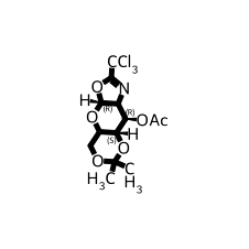 CC(=O)O[C@@H]1C2N=C(C(Cl)(Cl)Cl)O[C@H]2OC2COC(C)(C)O[C@H]21